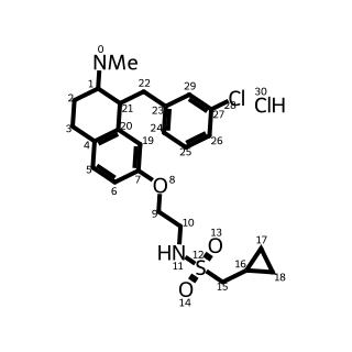 CNC1CCc2ccc(OCCNS(=O)(=O)CC3CC3)cc2C1Cc1cccc(Cl)c1.Cl